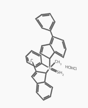 CC1=Cc2ccccc2[CH]1[Ti]([CH3])(=[SiH2])([c]1ccccc1)[CH]1C=Cc2c(-c3ccccc3)cccc21.Cl.Cl